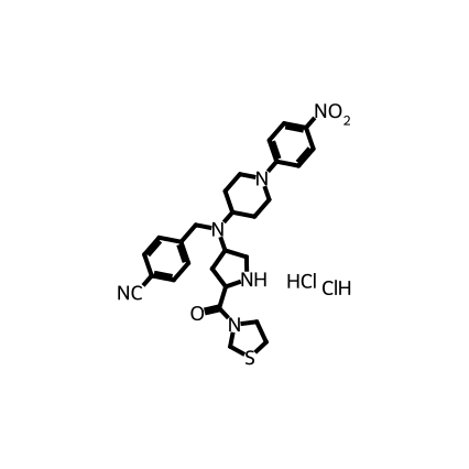 Cl.Cl.N#Cc1ccc(CN(C2CCN(c3ccc([N+](=O)[O-])cc3)CC2)C2CNC(C(=O)N3CCSC3)C2)cc1